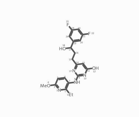 CCc1nc(OC)ccc1Nc1nc(O)cc(CCC(O)c2cc(F)cc(F)c2)n1